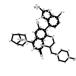 CCN1CCN(CC2CSc3c(-c4ccc(F)c5sc(N)nc45)c(Cl)cc4c(N5CC6CCC(C5)N6)nc(=O)n2c34)CC1